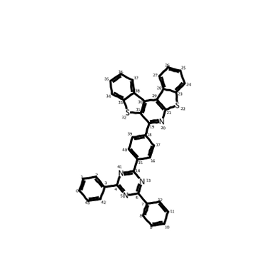 c1ccc(-c2nc(-c3ccccc3)nc(-c3ccc(-c4nc5sc6ccccc6c5c5c4sc4ccccc45)cc3)n2)cc1